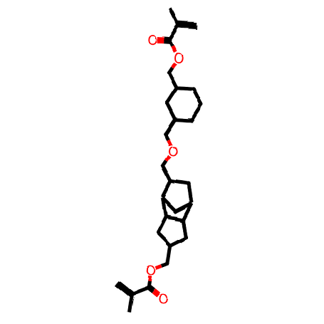 C=C(C)C(=O)OCC1CCCC(COCC2CC3CC2C2CC(COC(=O)C(=C)C)CC32)C1